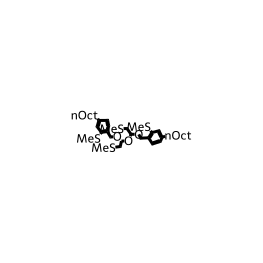 CCCCCCCCc1ccc(COC(CSC)OC(CSC)OCc2ccc(CCCCCCCC)cc2SC)c(SC)c1